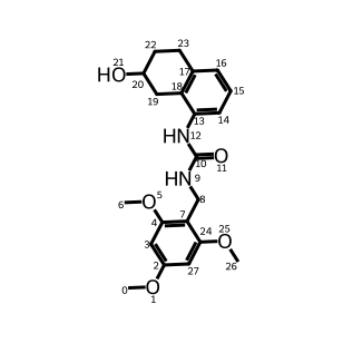 COc1cc(OC)c(CNC(=O)Nc2cccc3c2CC(O)CC3)c(OC)c1